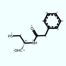 O=[C][C@H](CS)NC(=O)Cc1ccccc1